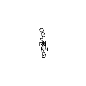 Cn1c(CNCc2ccoc2)nnc1SCCOc1ccccc1